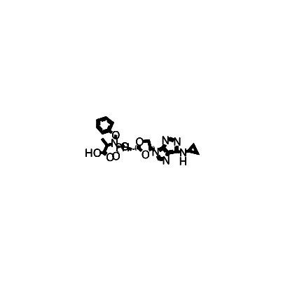 CC(C(=O)O)N(Oc1ccccc1)[PH](=O)OC[C@@H]1OC[C@H](n2cnc3c(NC4CC4)ncnc32)O1